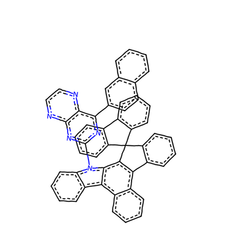 c1ccc2c(c1)-c1ccccc1C21c2ccccc2-c2c1c1c(c3ccccc23)c2ccccc2n1-c1nc(-c2ccc3ccccc3c2)c2nccnc2n1